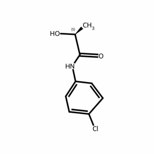 C[C@H](O)C(=O)Nc1ccc(Cl)cc1